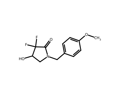 COc1ccc(CN2CC(O)C(F)(F)C2=O)cc1